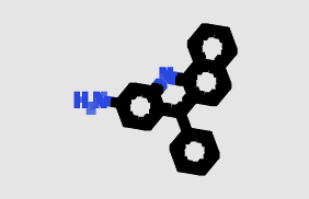 Nc1ccc2c(-c3ccccc3)c3ccc4ccccc4c3nc2c1